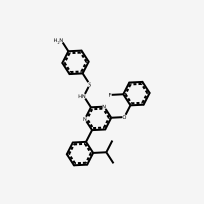 CC(C)c1ccccc1-c1cc(Oc2ccccc2F)nc(NSc2ccc(N)cc2)n1